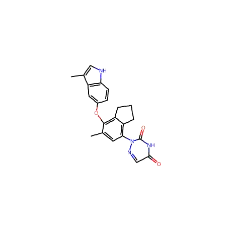 Cc1cc(-n2ncc(=O)[nH]c2=O)c2c(c1Oc1ccc3[nH]cc(C)c3c1)CCC2